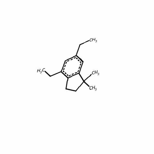 CCc1cc(CC)c2c(c1)C(C)(C)CC2